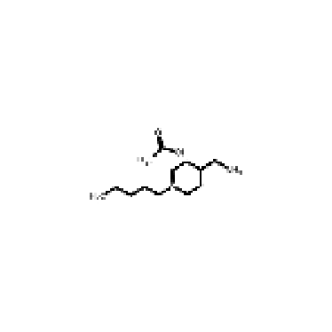 CC(=O)O.CCCCCN1CCC(CC)CC1